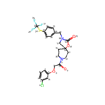 O=C(COc1cccc(Cl)c1)N1CCC2(CC1)CN(Cc1ccc(SC(F)(F)F)cc1)C(=O)O2